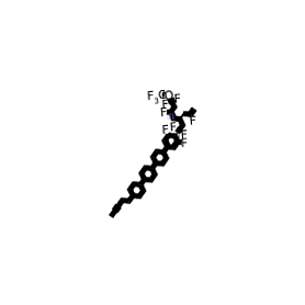 C=C(F)C[C@H](/C=C(/F)CC(F)(F)OC(F)(F)F)CC(F)(F)[C@@H]1C(F)=CC(C2CCC(C3CCC(C4CCC(CCC#CC)CC4)CC3)CC2)=CC1F